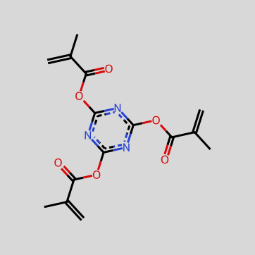 C=C(C)C(=O)Oc1nc(OC(=O)C(=C)C)nc(OC(=O)C(=C)C)n1